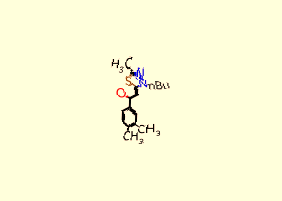 CCCCN1N=C(C)S/C1=C\C(=O)c1ccc(C)c(C)c1